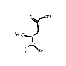 CC[S+]([O-])N(C)CC(=S)C(C)C